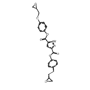 O=C(Oc1ccc(CCC2CO2)cc1)c1cc(C(=O)Oc2ccc(OCC3CO3)cc2)[pH]n1